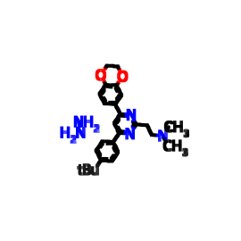 CN(C)CCc1nc(-c2ccc(C(C)(C)C)cc2)cc(-c2ccc3c(c2)OCCO3)n1.NN